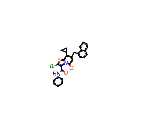 O=C(Nc1ccccc1)c1c(Br)sc2c(C3CC3)c(Cc3cccc4ccccc34)cc(=O)n12